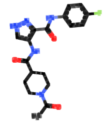 CC(=O)N1CCC(C(=O)Nc2c[nH]nc2C(=O)Nc2ccc(F)cc2)CC1